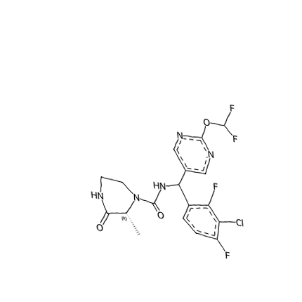 C[C@@H]1C(=O)NCCN1C(=O)NC(c1cnc(OC(F)F)nc1)c1ccc(F)c(Cl)c1F